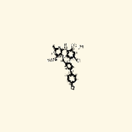 CNc1nc(C)nc(Nc2ccc(Cl)cc2C(=O)O)c1NCc1ccc(-c2ccc(Cl)cc2)o1